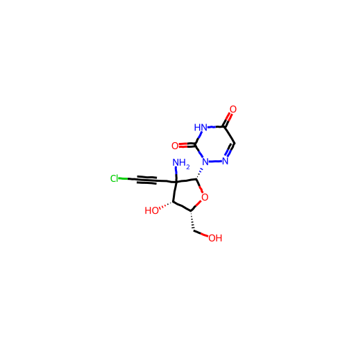 NC1(C#CCl)[C@@H](O)[C@@H](CO)O[C@H]1n1ncc(=O)[nH]c1=O